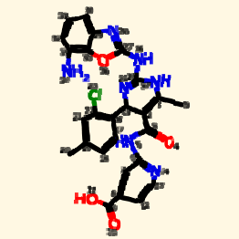 CC1=C(C(=O)Nc2cc(C(=O)O)ccn2)C(c2ccc(C)cc2Cl)N=C(Nc2nc3cccc(N)c3o2)N1